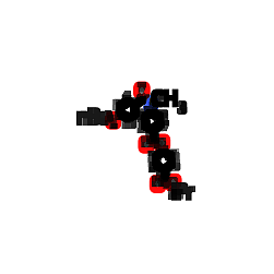 CCCCOc1ccc(C(=O)N(C)c2ccc(C(=O)OC3CCC(C(=O)OC(C)C)CC3)cc2)cc1